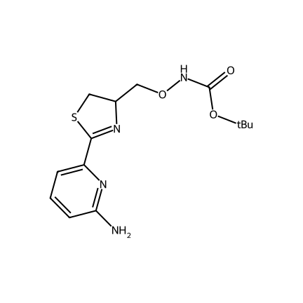 CC(C)(C)OC(=O)NOCC1CSC(c2cccc(N)n2)=N1